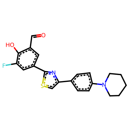 O=Cc1cc(-c2nc(-c3ccc(N4CCCCC4)cc3)cs2)cc(F)c1O